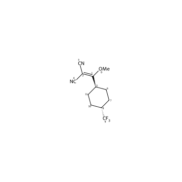 COC(=C(C#N)C#N)[C@H]1CC[C@H](C(F)(F)F)CC1